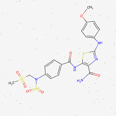 COc1ccc(Nc2nc(C(N)=O)c(NC(=O)c3ccc(N(CS(C)(=O)=O)[SH](=O)=O)cc3)s2)cc1